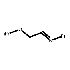 CCN=CCOC(C)C